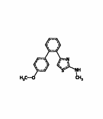 CNc1nc(-c2ccccc2-c2ccc(OC)cc2)cs1